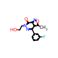 Cc1onc2c(=O)n(CCO)nc(-c3cccc(F)c3)c12